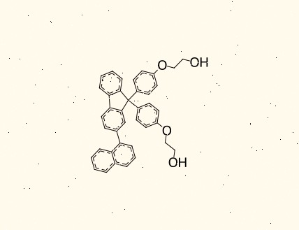 OCCOc1ccc(C2(c3ccc(OCCO)cc3)c3ccccc3-c3ccc(-c4cccc5ccccc45)cc32)cc1